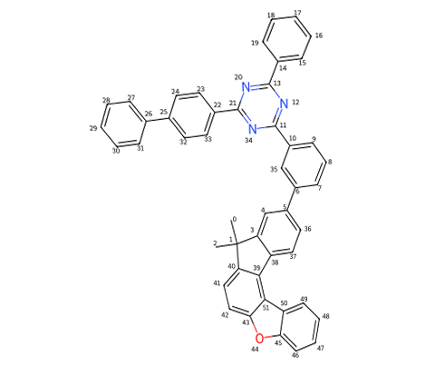 CC1(C)c2cc(-c3cccc(-c4nc(-c5ccccc5)nc(-c5ccc(-c6ccccc6)cc5)n4)c3)ccc2-c2c1ccc1oc3ccccc3c21